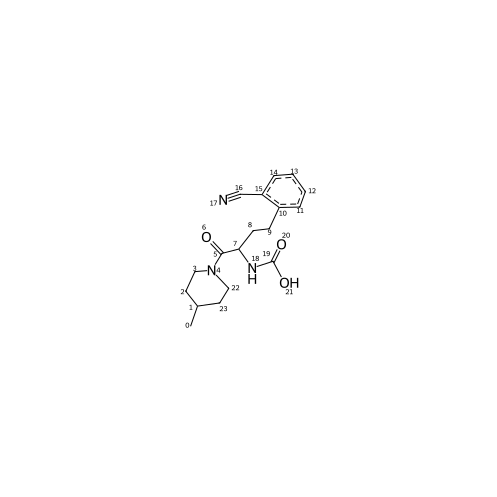 CC1CCN(C(=O)C(CCc2ccccc2C#N)NC(=O)O)CC1